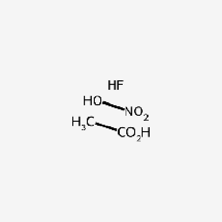 CC(=O)O.F.O=[N+]([O-])O